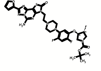 CC(C)(C)OC(=O)N1C[C@@H](F)[C@H](Oc2cc(N3CCN(CCn4c(=O)sc5c4nc(N)n4nc(-c6ccco6)nc54)CC3)c(F)cc2F)C1